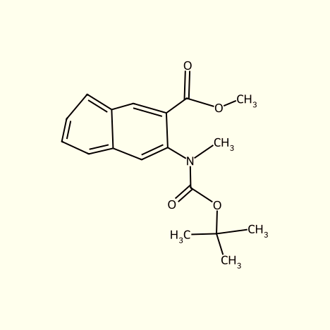 COC(=O)c1cc2ccccc2cc1N(C)C(=O)OC(C)(C)C